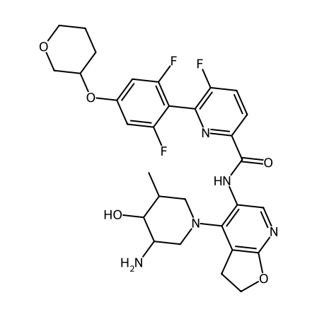 CC1CN(c2c(NC(=O)c3ccc(F)c(-c4c(F)cc(OC5CCCOC5)cc4F)n3)cnc3c2CCO3)CC(N)C1O